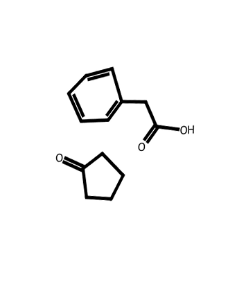 O=C(O)Cc1ccccc1.O=C1CCCC1